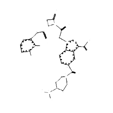 NC(=O)c1nn(CC(=O)N2C(=O)C[C@H]2C(=O)Cc2cccc(Cl)c2F)c2ccc(C(=O)N3CCC(B(O)O)CC3)cc12